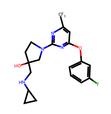 OC1(CNC2CC2)CCN(c2nc(Oc3cccc(F)c3)cc(C(F)(F)F)n2)C1